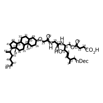 CCCCCCCCCCCC(C)/C=C/[C@@H](O)[C@H](COC(=O)CCC(=O)O)NC(=O)CNC(=O)CO[C@H]1CC[C@@]2(C)C(CCC3C2CC[C@@]2(C)C3CC[C@@H]2C(C)CCCC(C)C)C1